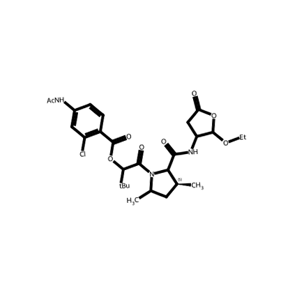 CCOC1OC(=O)CC1NC(=O)C1[C@@H](C)CC(C)N1C(=O)C(OC(=O)c1ccc(NC(C)=O)cc1Cl)C(C)(C)C